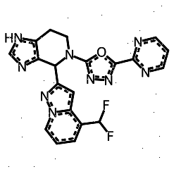 FC(F)c1cccn2nc(C3c4nc[nH]c4CCN3c3nnc(-c4ncccn4)o3)cc12